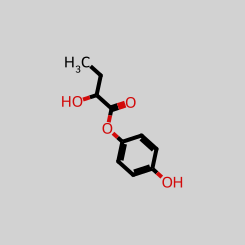 CCC(O)C(=O)Oc1ccc(O)cc1